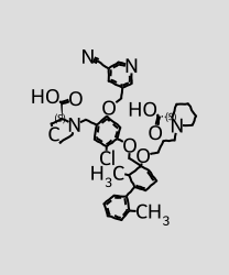 Cc1ccccc1C1=CC=CC(COc2cc(OCc3cncc(C#N)c3)c(CN3CCCC[C@H]3C(=O)O)cc2Cl)(OCCCN2CCCC[C@H]2C(=O)O)C1C